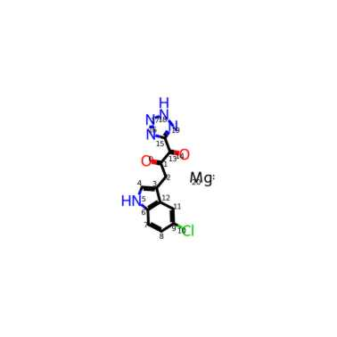 O=C(Cc1c[nH]c2ccc(Cl)cc12)C(=O)c1nn[nH]n1.[Mg]